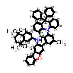 Cc1cc(-c2cc3oc4ccccc4c3cc2Nc2ccc3c(c2)C(C)(C)CCC3(C)C)c2c(c1)N1c3ccccc3C(c3ccccc3)(c3ccccc3)c3cccc(c31)B2